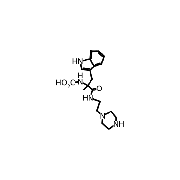 CC(Cc1c[nH]c2ccccc12)(NC(=O)O)C(=O)NCCN1CCNCC1